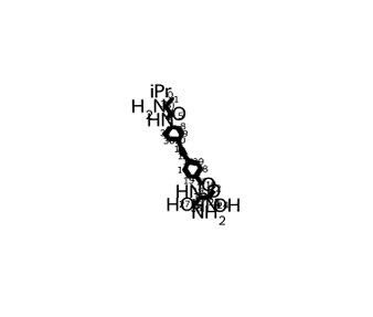 CC(C)C[C@H](N)C(=O)Nc1ccc(C#Cc2ccc(C(=O)N[C@H](C(=O)NO)[C@@H](N)O)cc2)cc1